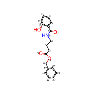 O=C(CCCNC(=O)c1ccccc1O)OCc1ccccc1